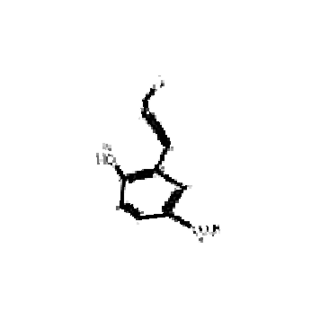 CCC/C=C/c1cc(C(=O)O)ccc1O